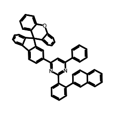 c1ccc(-c2cc(-c3ccc4c(c3)C3(c5ccccc5Oc5ccccc53)c3ccccc3-4)nc(-c3ccccc3-c3ccc4ccccc4c3)n2)cc1